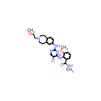 CNC(=O)c1cccc(OC)c1Nc1nc(Nc2ccc3c(c2)CCN(CCOC)CC3)ncc1Cl